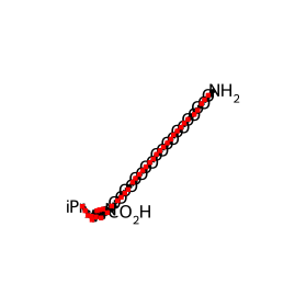 CC(C)CCC[C@@H](C)[C@H]1CCC2C3CC=C4C[C@@H](N(CCOCCOCCOCCOCCOCCOCCOCCOCCOCCOCCOCCOCCOCCOCCOCCOCCOCCOCCOCCN)C(=O)O)CC[C@]4(C)C3CC[C@@]21C